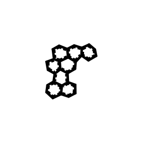 c1ccc2c(c1)cc1ccc3ccc4c5cccc6cccc(c7cc2c1c3c47)c65